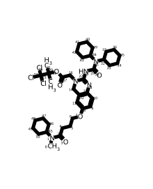 CN(C(=O)CCCOc1ccc2c(c1)CN(CC(=O)OC(C)(C)C(Cl)(Cl)Cl)C(NC(=O)N(C1CCCCC1)C1CCCCC1)=N2)C1CCCCC1